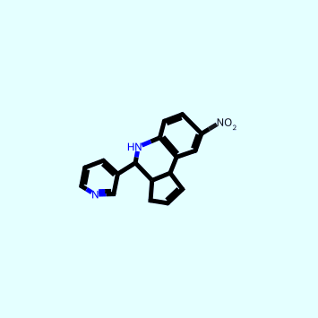 O=[N+]([O-])c1ccc2c(c1)C1C=CCC1C(c1cccnc1)N2